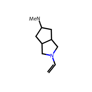 C=CN1CC2CC(NC)CC2C1